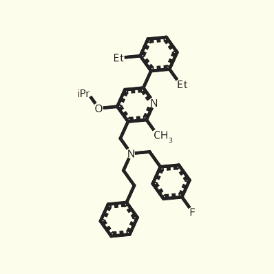 CCc1cccc(CC)c1-c1cc(OC(C)C)c(CN(CCc2ccccc2)Cc2ccc(F)cc2)c(C)n1